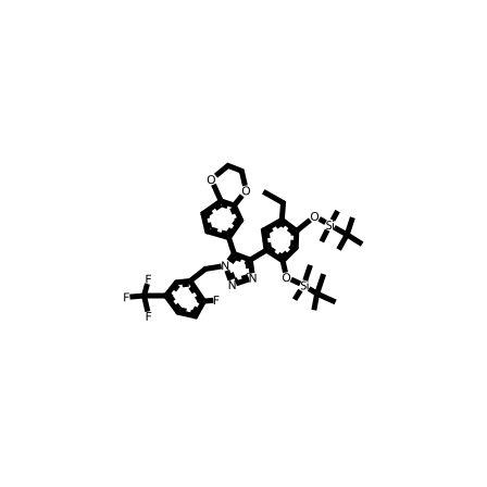 CCc1cc(-c2nnn(Cc3cc(C(F)(F)F)ccc3F)c2-c2ccc3c(c2)OCCO3)c(O[Si](C)(C)C(C)(C)C)cc1O[Si](C)(C)C(C)(C)C